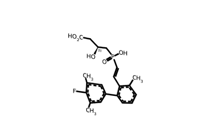 Cc1cc(-c2cccc(C)c2C=CP(=O)(O)C[C@@H](O)CC(=O)O)cc(C)c1F